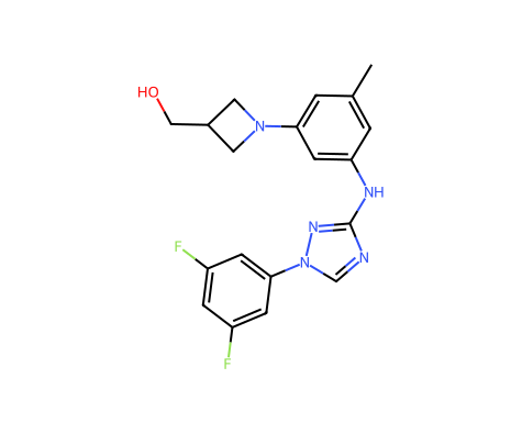 Cc1cc(Nc2ncn(-c3cc(F)cc(F)c3)n2)cc(N2CC(CO)C2)c1